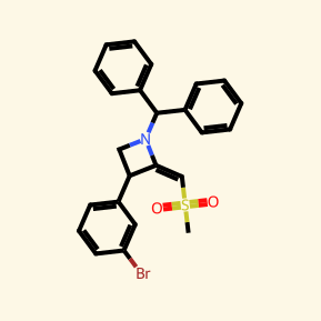 CS(=O)(=O)C=C1C(c2cccc(Br)c2)CN1C(c1ccccc1)c1ccccc1